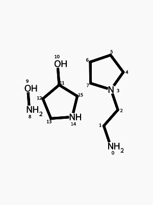 NCCN1CCCC1.NO.OC1CCNC1